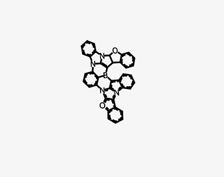 c1ccc2c(c1)OC1C2C2=C3N(c4ccccc4N31)c1cccc3c1B2c1c2ccccc2n2c4c5ccccc5oc4n-3c12